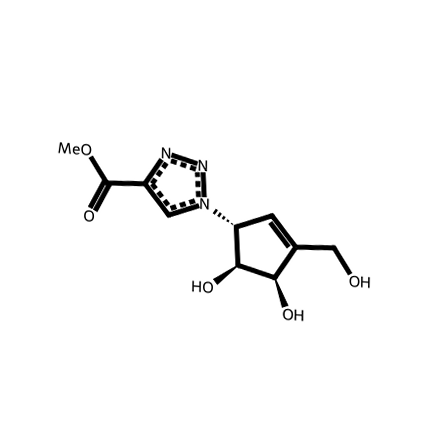 COC(=O)c1cn([C@@H]2C=C(CO)[C@@H](O)[C@H]2O)nn1